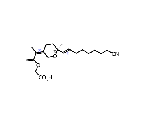 C=C(OCC(=O)O)/C(C)=C1/CC[C@@](C)(/C=C/CCCCCCC#N)OC1